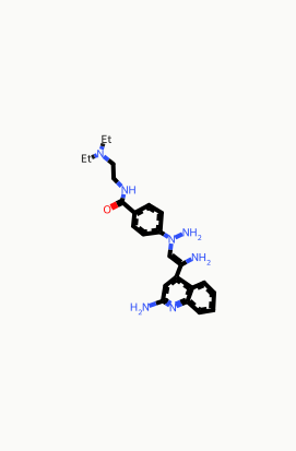 CCN(CC)CCNC(=O)c1ccc(N(N)/C=C(\N)c2cc(N)nc3ccccc23)cc1